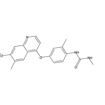 CNC(=O)Nc1ccc(Oc2ccnc3cc(OC)c(C)cc23)cc1C